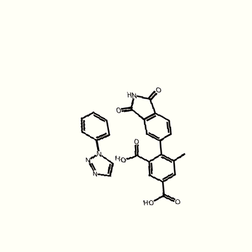 Cc1cc(C(=O)O)cc(C(=O)O)c1-c1ccc2c(c1)C(=O)NC2=O.c1ccc(-n2ccnn2)cc1